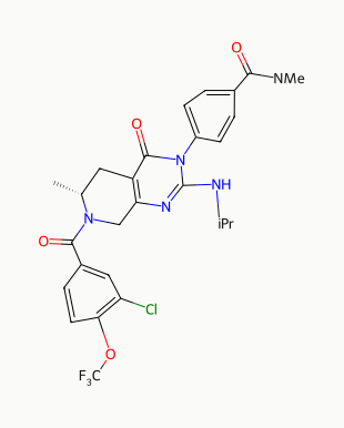 CNC(=O)c1ccc(-n2c(NC(C)C)nc3c(c2=O)C[C@@H](C)N(C(=O)c2ccc(OC(F)(F)F)c(Cl)c2)C3)cc1